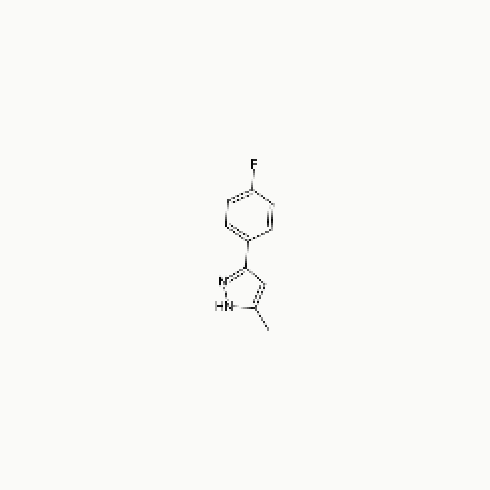 Cc1cc(-c2ccc(F)cc2)n[nH]1